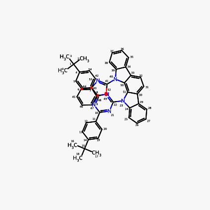 CC(C)(C)c1ccc(-c2nc(-c3ccc(C(C)(C)C)cc3)nc(-n3c4ccccc4c4ccc5c6ccccc6n(-c6nc7ccccc7o6)c5c43)n2)cc1